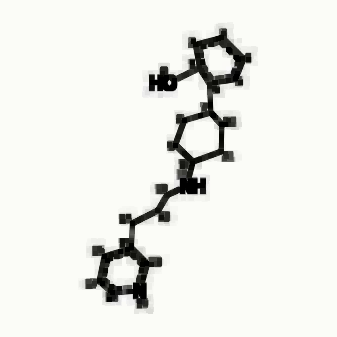 Oc1ccccc1C1CCC(NCCCc2cccnc2)CC1